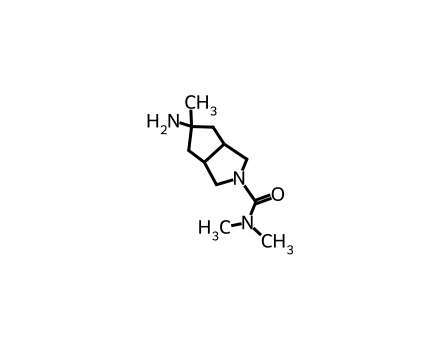 CN(C)C(=O)N1CC2CC(C)(N)CC2C1